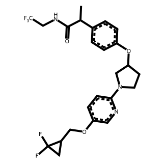 CC(C(=O)NCC(F)(F)F)c1ccc(OC2CCN(c3ccc(OCC4CC4(F)F)cn3)C2)cc1